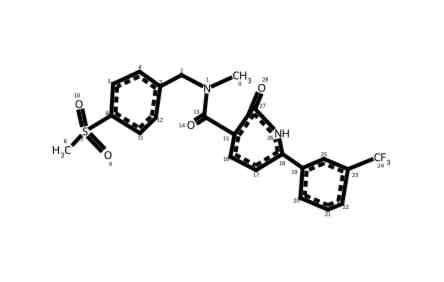 CN(Cc1ccc(S(C)(=O)=O)cc1)C(=O)c1ccc(-c2cccc(C(F)(F)F)c2)[nH]c1=O